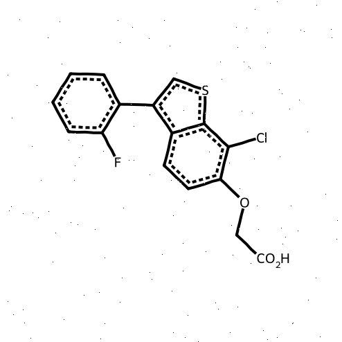 O=C(O)COc1ccc2c(-c3ccccc3F)csc2c1Cl